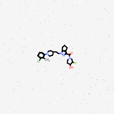 Cc1c(Cl)cccc1N1CCC(CCn2nc(C(=O)N3CCC(O)C(F)C3)c3c2CCC3)CC1